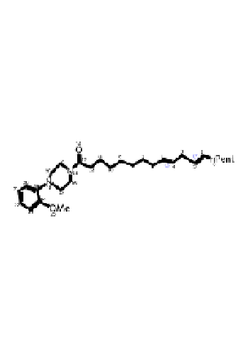 CCCCC/C=C/C/C=C/CCCCCCCC(=O)N1CCN(c2ccccc2OC)CC1